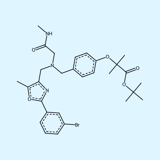 CNC(=O)CN(Cc1ccc(OC(C)(C)C(=O)OC(C)(C)C)cc1)Cc1nc(-c2cccc(Br)c2)oc1C